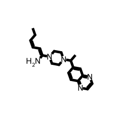 CC/C=C\C=C(/N)N1CCN(C(C)c2ccc3nccnc3c2)CC1